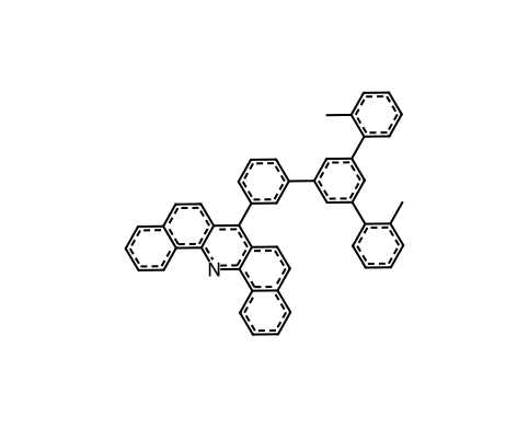 Cc1ccccc1-c1cc(-c2cccc(-c3c4ccc5ccccc5c4nc4c3ccc3ccccc34)c2)cc(-c2ccccc2C)c1